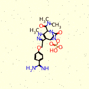 CN(C)C(=O)C1c2c(c(COc3ccc(C(=N)N)cc3)nn2C)C2CN1C(=O)N2OS(=O)(=O)O